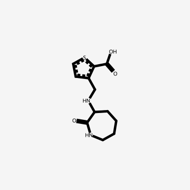 O=C(O)c1sccc1CNC1CCCCNC1=O